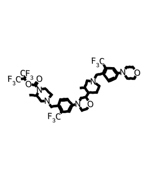 CC1CN(Cc2ccc(N3CCOCC3)cc2C(F)(F)F)CCC1C1CN(c2ccc(CN3CCN(C(=O)OC(C(F)(F)F)C(F)(F)F)C(C)C3)c(C(F)(F)F)c2)CCO1